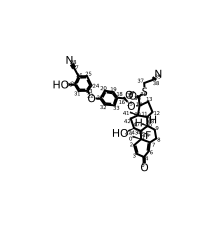 C[C@]12C=CC(=O)C=C1CC[C@H]1[C@@H]3CC[C@](OC(=O)c4ccc(Oc5ccc(C#N)c(O)c5)cc4)(C(=O)SCC#N)[C@@]3(C)C[C@H](O)[C@@]12F